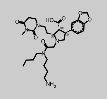 CCCCN(CCCCN)C(=O)CN1C[C@H](c2ccc3c(c2)OCO3)[C@@H](C(=O)O)[C@@H]1CCN1CCC(=O)N(C)C1=O